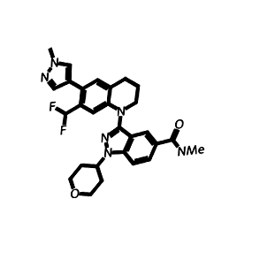 CNC(=O)c1ccc2c(c1)c(N1CCCc3cc(-c4cnn(C)c4)c(C(F)F)cc31)nn2C1CCOCC1